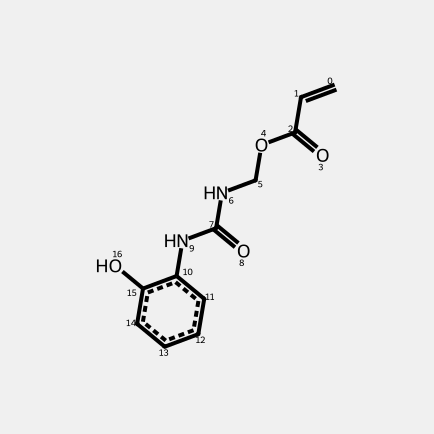 C=CC(=O)OCNC(=O)Nc1ccccc1O